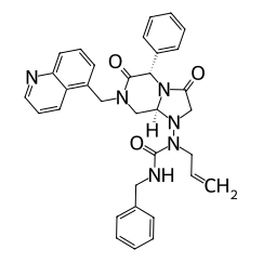 C=CCN(C(=O)NCc1ccccc1)N1CC(=O)N2[C@@H](c3ccccc3)C(=O)N(Cc3cccc4ncccc34)C[C@@H]21